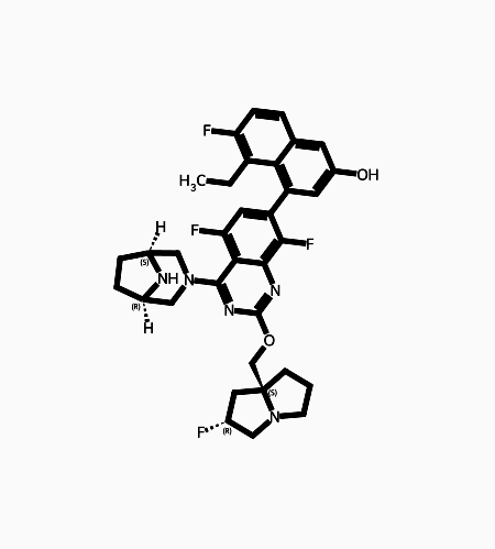 CCc1c(F)ccc2cc(O)cc(-c3cc(F)c4c(N5C[C@H]6CC[C@@H](C5)N6)nc(OC[C@@]56CCCN5C[C@H](F)C6)nc4c3F)c12